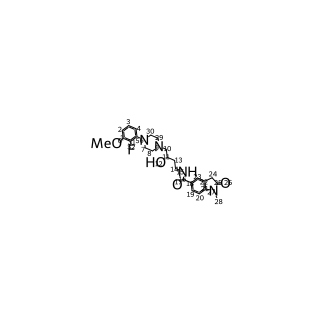 COc1cccc(N2CCN(C[C@H](O)CCNC(=O)c3ccc4c(c3)CC(=O)N4C)CC2)c1F